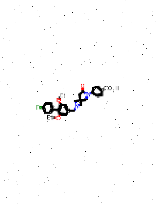 CCOc1cc(CN2CC3(CC(=O)N(c4ccc(C(=O)O)cc4)C3)C2)cc(OCC)c1-c1ccc(F)cc1